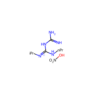 CCCN/C(=N/C(C)C)NC(=N)N.O=[N+]([O-])O